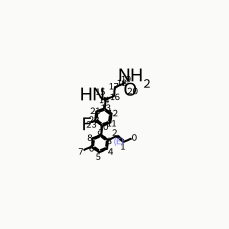 C/C=C/c1ccc(C)cc1-c1ccc(C(=N)CCC(N)=O)cc1F